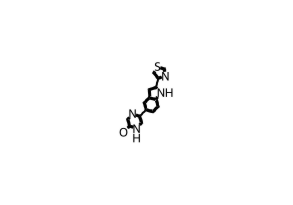 O=c1cnc(-c2ccc3[nH]c(-c4cscn4)cc3c2)c[nH]1